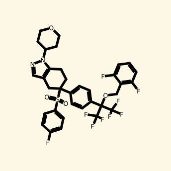 O=S(=O)(c1ccc(F)cc1)C1(c2ccc(C(OCc3c(F)cccc3F)(C(F)(F)F)C(F)(F)F)cc2)CCc2c(cnn2C2CCOCC2)C1